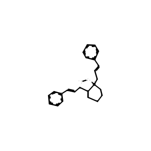 NNC1(CC=Cc2ccccc2)CCCCC1CC=Cc1ccccc1